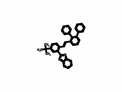 CC(C)(C)c1ccc(/C=C/c2cccc(-c3ccccc3)c2-c2ccccc2)c(-c2nc3ccccc3o2)c1